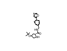 CC(C)(C)OC1CN[C@H](C(=O)NCc2ccc(-c3cnco3)cc2)C1